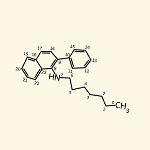 CCCCCCCNc1c(-c2ccccc2)ccc2ccccc12